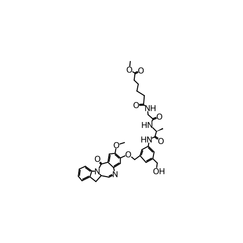 COC(=O)CCCCC(=O)NCC(=O)N[C@@H](C)C(=O)Nc1cc(CO)cc(COc2cc3c(cc2OC)C(=O)N2c4ccccc4CC2C=N3)c1